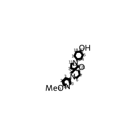 COc1ccc(N2CCC[C@]3(CCN([C@H]4CC[C@H](O)CC4)C3=O)C2)cn1